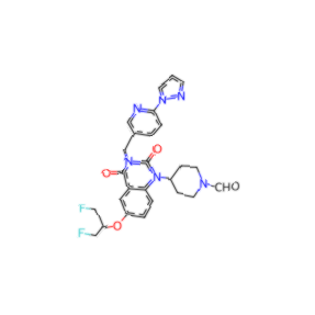 O=CN1CCC(n2c(=O)n(Cc3ccc(-n4cccn4)nc3)c(=O)c3cc(OC(CF)CF)ccc32)CC1